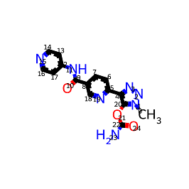 Cn1nnc(-c2ccc(C(=O)Nc3ccncc3)cn2)c1OC(N)=O